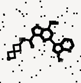 CNc1cc(-c2cn(C(C)C)c3ncccc23)nc2c(C(=O)NC3CC4(COC4)C3)cnn12